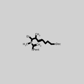 C=C(CCCCC)N(C)C(CC)C(C)/C=C/CCCCCCCCCCCCC